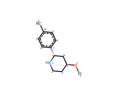 CCO[C@H]1CCN[C@H](c2ccc(C#N)cc2)C1